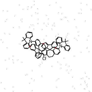 CC1(C)c2ccccc2N(c2ccc3c(c2)C2(c4ccccc4-c4ccccc42)c2c(Cl)c(Cl)c4c(c2CC3)C2(c3cc(N5c6ccccc6C(C)(C)c6ccccc65)ccc3CC4)c3ccccc3-c3ccccc32)c2ccccc21